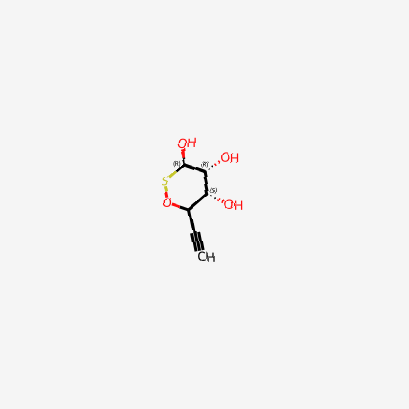 C#CC1OS[C@@H](O)[C@H](O)[C@@H]1O